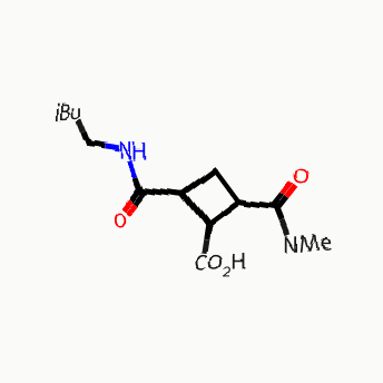 CCC(C)CNC(=O)C1CC(C(=O)NC)C1C(=O)O